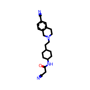 N#CCC(=O)NC1CCC(CCN2CCc3cc(C#N)ccc3C2)CC1